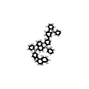 c1ccc(N(c2ccc(-c3ccc4c5ccccc5n(-c5ccccc5)c4c3)cc2)c2ccc(N(c3ccccc3)c3ccc4sc5ccc6ccccc6c5c4c3)c3ccccc23)cc1